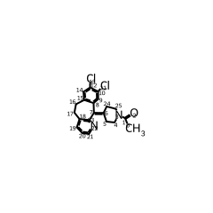 CC(=O)N1CCC(=C2c3cc(Cl)c(Cl)cc3CCc3cccnc32)CC1